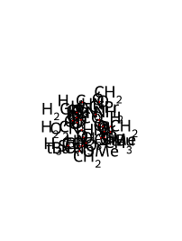 C=CCOC(=O)N[C@@H](C(C)C)C(N)[C@@H](C)C(N)c1ccc(COC(=O)Nc2cc(OCCCOc3cc(NC(=O)OCc4ccc(O[C@@H]5O[C@H](C(=O)O)[C@@H](OC(=O)OCC=C)[C@H](OC(=O)OCC=C)[C@H]5OC(=O)OCC=C)c([N+](=O)[O-])c4)c(C(=O)N4CC(=C)C[C@H]4CO[Si](C)(C)C(C)(C)C)cc3OC)c(OC)cc2C(=O)N2CC(=C)C[C@H]2CO[Si](C)(C)C(C)(C)C)cc1